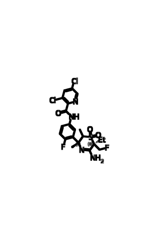 CC[C@]1(CF)C(N)=N[C@](C)(c2cc(NC(=O)c3ncc(Cl)cc3Cl)ccc2F)C(C)S1(=O)=O